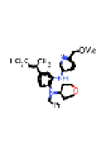 COCc1ccc(Nc2cc([C@H](C)CC(=O)O)ccc2N(CC(C)C)C2CCOCC2)cn1